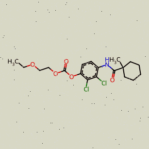 CCOCCOC(=O)Oc1ccc(NC(=O)C2(C)CCCCC2)c(Cl)c1Cl